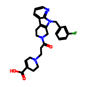 O=C(O)C1=CCN(CCC(=O)N2CCc3c(n(Cc4cccc(F)c4)c4ncccc34)C2)CC1